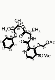 COc1ccnc(C(=O)N[C@@H](C)C(=O)O[C@@H](C)[C@H](C)Oc2ccccc2)c1OCOC(C)=O